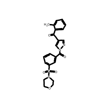 Cc1ccccc1C(=O)c1cnn(C(=O)c2cccc(S(=O)(=O)N3CCOCC3)c2)c1